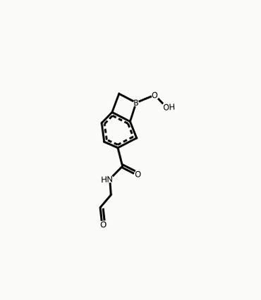 O=CCNC(=O)c1ccc2c(c1)B(OO)C2